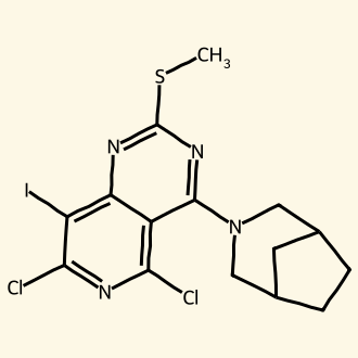 CSc1nc(N2CC3CCC(C3)C2)c2c(Cl)nc(Cl)c(I)c2n1